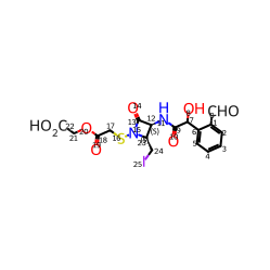 O=Cc1ccccc1C(O)C(=O)N[C@@H]1C(=O)N(SCC(=O)OCC(=O)O)[C@@H]1CI